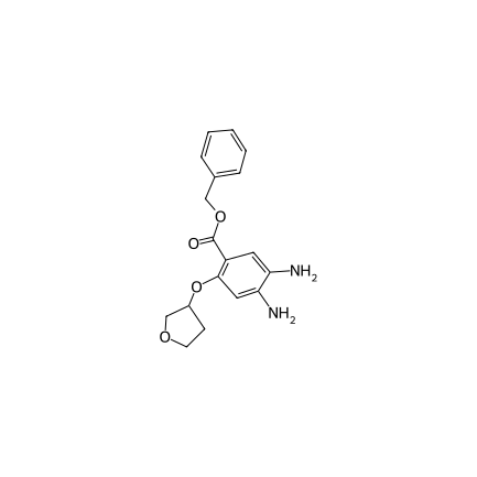 Nc1cc(OC2CCOC2)c(C(=O)OCc2ccccc2)cc1N